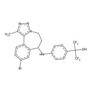 Cc1nnn2c1-c1ccc(Br)cc1C(Nc1ccc(C(O)(C(F)(F)F)C(F)(F)F)cc1)CC2